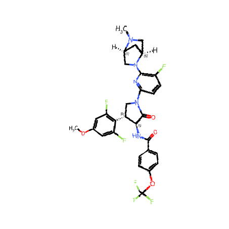 COc1cc(F)c([C@@H]2CN(c3ccc(F)c(N4C[C@@H]5C[C@H]4CN5C)n3)C(=O)[C@H]2NC(=O)c2ccc(OC(F)(F)F)cc2)c(F)c1